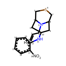 C=CCN1C2CSCC1CC(Nc1ccccc1[N+](=O)[O-])C2